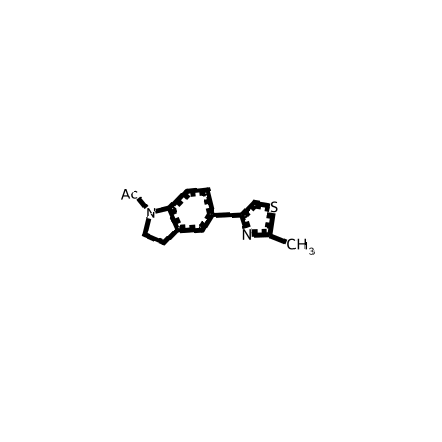 CC(=O)N1CCc2cc(-c3csc(C)n3)ccc21